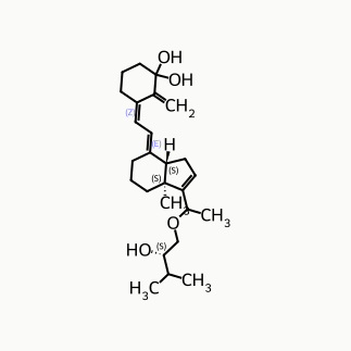 C=C1/C(=C\C=C2/CCC[C@]3(C)C(C(C)OC[C@@H](O)C(C)C)=CC[C@@H]23)CCCC1(O)O